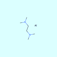 CN(C)CCN(C)C.[Al]